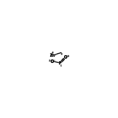 O=P[O-].[CH3][Zn+]